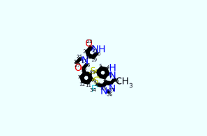 CC(Nc1ccc2c(c1)Sc1cccc(C3CN(c4cc[nH]c(=O)c4)CCO3)c1S2)c1cc(CF)ncn1